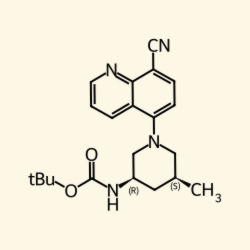 C[C@H]1C[C@@H](NC(=O)OC(C)(C)C)CN(c2ccc(C#N)c3ncccc23)C1